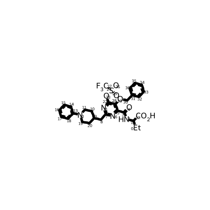 CCC(NC(=O)c1nc(CC2CCN(c3ccccc3)CC2)nc(OS(=O)(=O)C(F)(F)F)c1OCc1ccccc1)C(=O)O